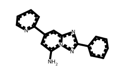 Nc1cc(-c2ccccn2)cc2nc(-c3ccccc3)nn12